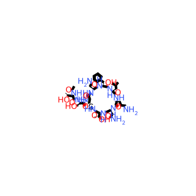 CC(=O)N[C@H](C(=O)N[C@H](CO)C(=O)N[C@H]1CCNC(=O)C([C@@H](C)O)NC(=O)[C@H](CCN)NC(=O)[C@H](CCCN)NC(=O)[C@H](CC(C)C)NC(O)[C@@H](Cc2ccccc2)NC(=O)[C@H](CCN)NC1=O)[C@@H](C)O